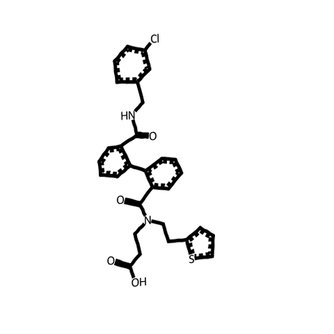 O=C(O)CCN(CCc1cccs1)C(=O)c1ccccc1-c1ccccc1C(=O)NCc1cccc(Cl)c1